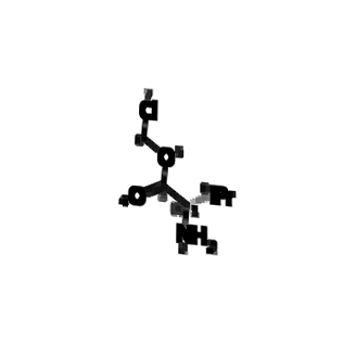 CC(C)[C@H](N)C(=O)OCCl